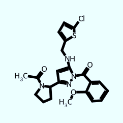 COc1ccccc1C(=O)n1nc(C2CCCN2C(C)=O)cc1NCc1ccc(Cl)s1